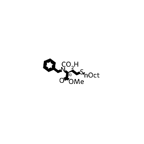 CCCCCCCCSCC[C@@H](C(=O)OC)N(Cc1ccccc1)C(=O)O